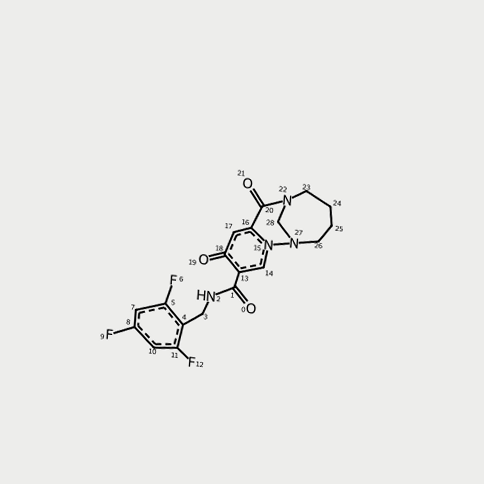 O=C(NCc1c(F)cc(F)cc1F)c1cn2c(cc1=O)C(=O)N1CCCCN2C1